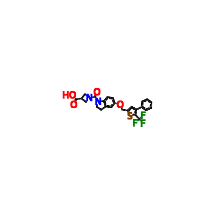 O=C(O)C1CN(C(=O)N2CCc3cc(OCc4cc(-c5ccccc5)c(C(F)(F)F)s4)ccc32)C1